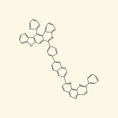 c1ccc(-c2ccc3ccc4ccc(-c5ccc6cc(-c7ccc(-c8nc9ccccc9c9c(-c%10ccccc%10)c%10c(cc89)oc8ccccc8%10)cc7)ccc6c5)nc4c3n2)cc1